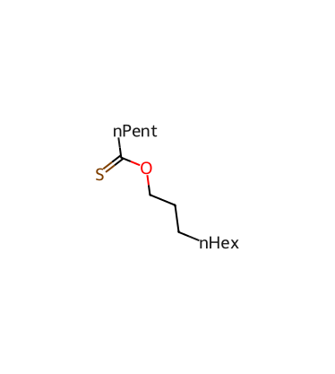 CCCCCCCCCOC(=S)CCCCC